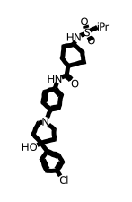 CC(C)S(=O)(=O)NC1CCC(C(=O)Nc2ccc(N3CCC(O)(c4ccc(Cl)cc4)CC3)cc2)CC1